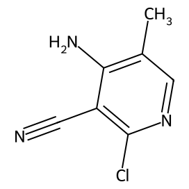 Cc1cnc(Cl)c(C#N)c1N